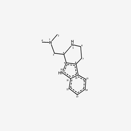 CN(C)CC1NCCc2c1[nH]c1ccccc21